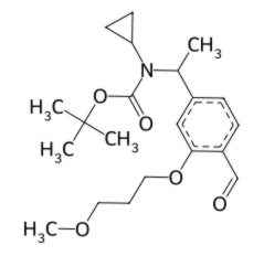 COCCCOc1cc(C(C)N(C(=O)OC(C)(C)C)C2CC2)ccc1C=O